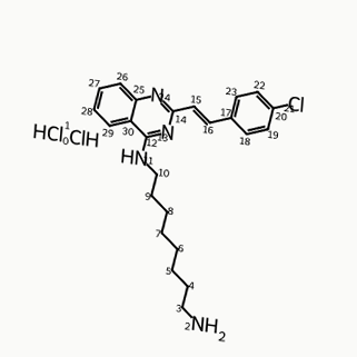 Cl.Cl.NCCCCCCCCNc1nc(/C=C/c2ccc(Cl)cc2)nc2ccccc12